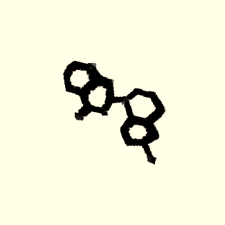 O=c1nc(N2CCCc3cc(Br)ccc32)sc2ncccc12